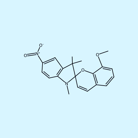 COc1cccc2c1OC1(C=C2)N(C)c2ccc([N+](=O)[O-])cc2C1(C)C